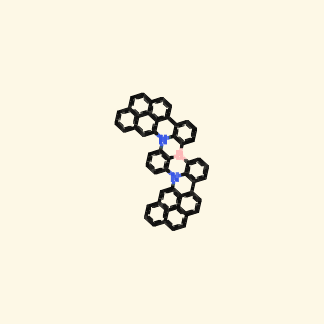 c1cc2c3c(c1)-c1ccc4ccc5cccc6cc(c1c4c56)N3c1cccc3c1B2c1cccc2c1N3c1cc3cccc4ccc5ccc-2c1c5c43